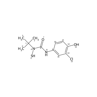 CC(C)(C)N(S)C(=O)Nc1ccc(O)c(Cl)c1